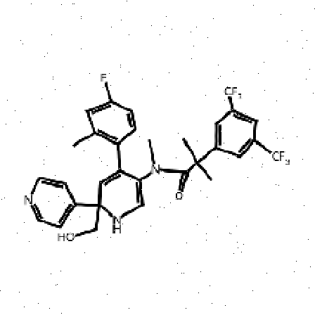 Cc1cc(F)ccc1C1=CC(CO)(c2ccncc2)NC=C1N(C)C(=O)C(C)(C)c1cc(C(F)(F)F)cc(C(F)(F)F)c1